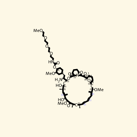 COCCOCCOCCOCCNC(=O)O[C@@H]1CC[C@@H](C[C@@H](N)[C@@H]2C[C@@H](O)[C@H](C)/C=C(\C)[C@@H](O)[C@@H](OC)C(=O)[C@H](C)C[C@H](C)/C=C/C=C/C=C(\C)[C@@H](OC)C[C@@H]3CC[C@@H](C)[C@@](O)(O3)C(=O)C(=O)N3CCCC[C@H]3C(=O)O2)C[C@H]1OC